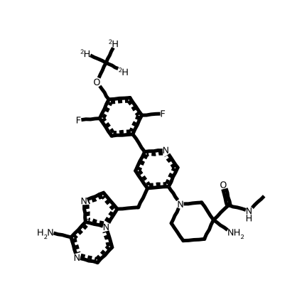 [2H]C([2H])([2H])Oc1cc(F)c(-c2cc(Cc3cnc4c(N)nccn34)c(N3CCCC(N)(C(=O)NC)C3)cn2)cc1F